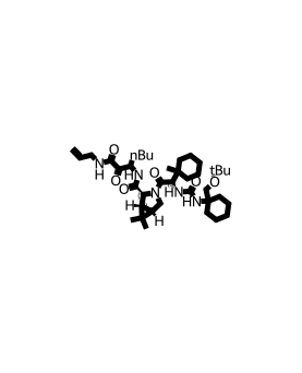 C=CCNC(=O)C(=O)C(CCCC)NC(=O)[C@@H]1[C@@H]2[C@H](CN1C(=O)[C@@H](NC(=O)NC1(COC(C)(C)C)CCCCC1)C1(C)CCCCC1)C2(C)C